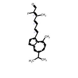 CC(/C=C/C=C/c1ccc2cc(C(C)C)ccc(C)c1-2)=C(/F)C=O